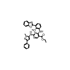 CCOC(=O)c1cnc(Nc2cc(-c3ccccc3)nn2C)nc1Nc1cccc(-c2nc3ccccc3o2)c1OC